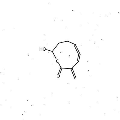 C=C1C=C=CCCC(O)CC1=O